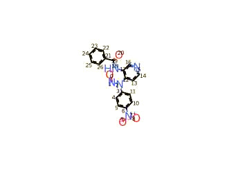 O=NN(c1ccc([N+](=O)[O-])cc1)c1ccncc1NC(=O)c1ccccc1